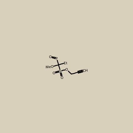 C#CCOS(=O)(=O)C(CC)(OC)P=O